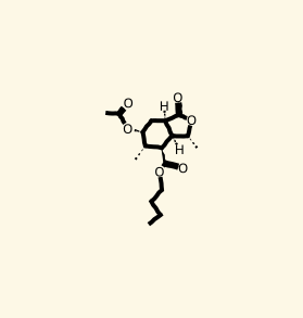 CCCCOC(=O)[C@H]1[C@H](C)[C@H](OC(C)=O)C[C@H]2C(=O)O[C@H](C)[C@@H]12